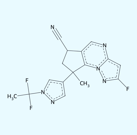 CC1(c2cnn(C(C)(F)F)c2)CC(C#N)c2cnc3cc(F)nn3c21